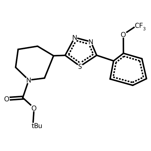 CC(C)(C)OC(=O)N1CCCC(c2nnc(-c3ccccc3OC(F)(F)F)s2)C1